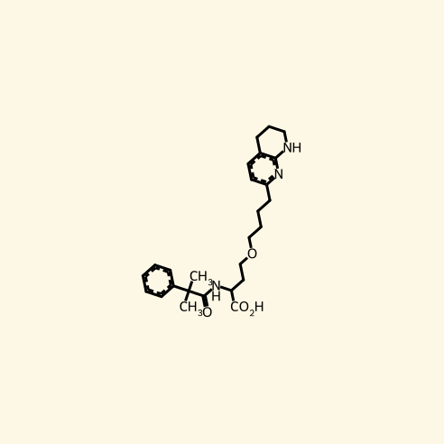 CC(C)(C(=O)NC(CCOCCCCc1ccc2c(n1)NCCC2)C(=O)O)c1ccccc1